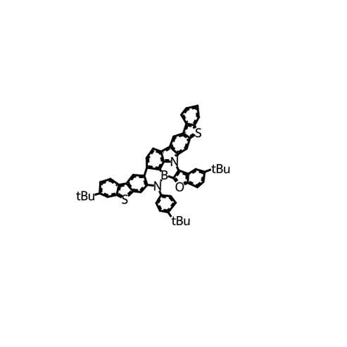 CC(C)(C)c1ccc(N2B3c4oc5ccc(C(C)(C)C)cc5c4-n4c5cc6sc7ccccc7c6cc5c5ccc(c3c54)-c3cc4c(cc32)sc2cc(C(C)(C)C)ccc24)cc1